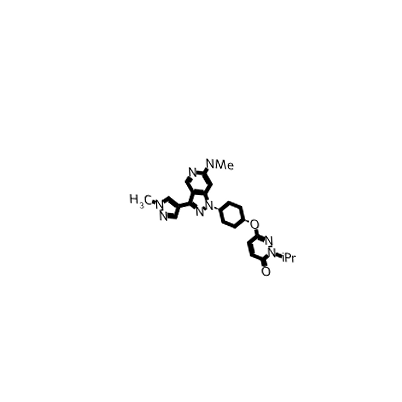 CNc1cc2c(cn1)c(-c1cnn(C)c1)nn2[C@H]1CC[C@@H](Oc2ccc(=O)n(C(C)C)n2)CC1